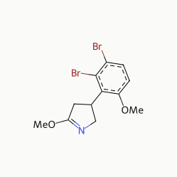 COC1=NCC(c2c(OC)ccc(Br)c2Br)C1